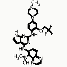 CN1CCN(c2ccc(Nc3nc(Nc4ccc5nccnc5c4N(C)C)c4cc[nH]c4n3)c(OCC(F)(F)F)c2)CC1